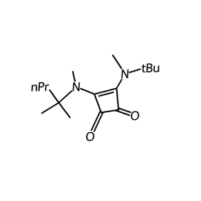 CCCC(C)(C)N(C)c1c(N(C)C(C)(C)C)c(=O)c1=O